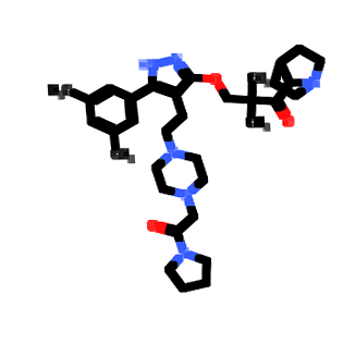 Cc1cc(C)cc(-c2[nH]nc(OCC(C)(C)C(=O)C3C4CCN3CC4)c2CCN2CCN(CC(=O)N3CCCC3)CC2)c1